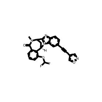 CN1C(=O)c2cccc(OC(F)F)c2[C@H]2CC1c1nc3ccc(C#Cc4cnoc4)cc3n12